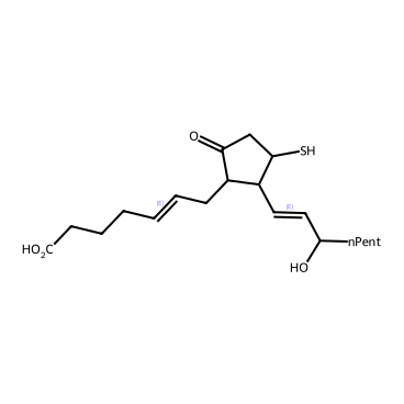 CCCCCC(O)/C=C/C1C(S)CC(=O)C1C/C=C/CCCC(=O)O